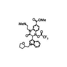 CNCCN1C(=O)C(c2cn(CC3CCCO3)c3ccccc23)N(OC(=O)C(F)(F)F)c2ccc(C(=O)OC)cc21